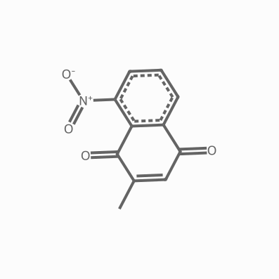 CC1=CC(=O)c2cccc([N+](=O)[O-])c2C1=O